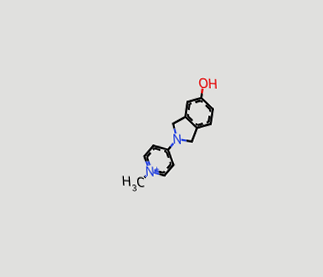 C[n+]1ccc(N2Cc3ccc(O)cc3C2)cc1